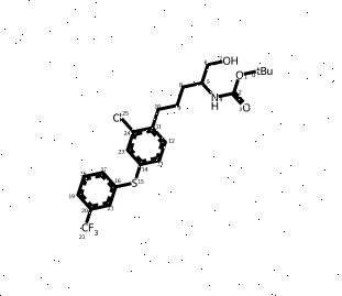 CC(C)(C)OC(=O)NC(CO)CCCc1ccc(Sc2cccc(C(F)(F)F)c2)cc1Cl